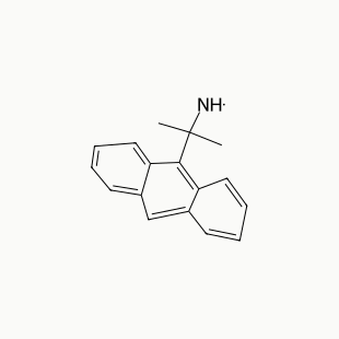 CC(C)([NH])c1c2ccccc2cc2ccccc12